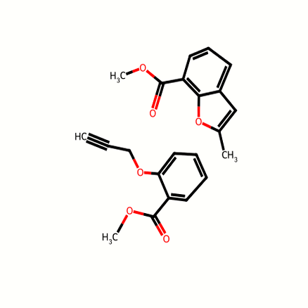 C#CCOc1ccccc1C(=O)OC.COC(=O)c1cccc2cc(C)oc12